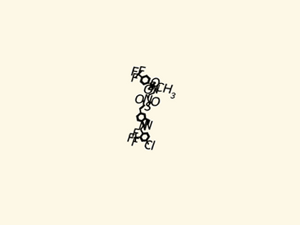 CN(CCN1C(=O)SC(=Cc2ccc3c(cnn3Cc3ccc(Cl)cc3C(F)(F)F)c2)C1=O)S(=O)(=O)c1ccc(C(F)(F)F)cc1